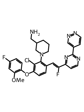 COc1cc(F)ccc1Oc1ccc(/C=C(\F)c2ccnc(-c3ccnnc3)n2)c(N2CCCC(CN)C2)c1Cl